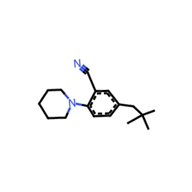 CC(C)(C)Cc1ccc(N2CCCCC2)c(C#N)c1